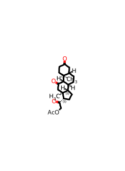 CC(=O)OCC(=O)[C@H]1CC[C@H]2[C@@H]3CC[C@H]4CC(=O)CC[C@]4(C)[C@H]3C(=O)C[C@]12C